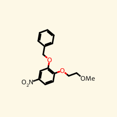 COCCOc1ccc([N+](=O)[O-])cc1OCc1ccccc1